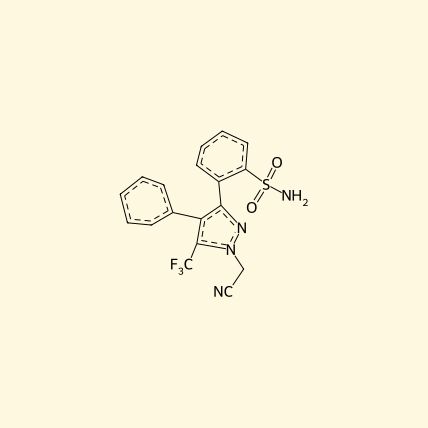 N#CCn1nc(-c2ccccc2S(N)(=O)=O)c(-c2ccccc2)c1C(F)(F)F